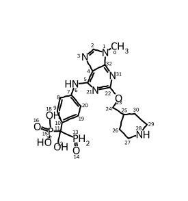 Cn1cnc2c(Nc3ccc(C(O)([PH2]=O)P(=O)(O)O)cc3)nc(OCC3CCNCC3)nc21